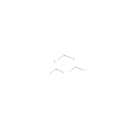 FCF.FCOCF